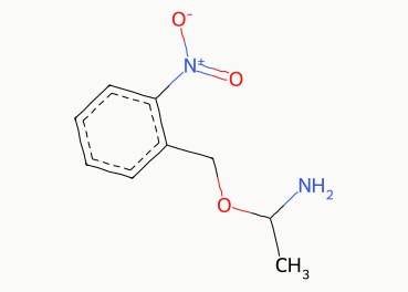 CC(N)OCc1ccccc1[N+](=O)[O-]